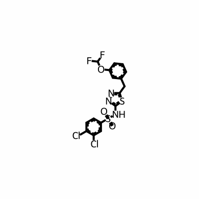 O=S(=O)(Nc1nnc(Cc2cccc(OC(F)F)c2)s1)c1ccc(Cl)c(Cl)c1